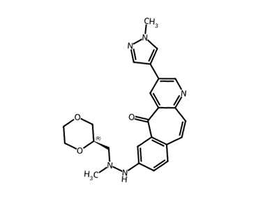 CN(C[C@@H]1COCCO1)Nc1ccc2ccc3ncc(-c4cnn(C)c4)cc3c(=O)c2c1